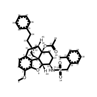 COc1ccc2c3c1O[C@H]1[C@H](NS(=O)(=O)Cc4ccccc4C)CC[C@@]4(OC(C)=O)[C@@H](C2)N(CCc2ccccc2)CC[C@]314